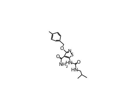 Cc1ccc(COc2nsc(NC(=O)NCC(C)C)c2C(N)=O)cc1